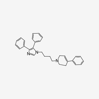 C1=C(c2ccccc2)CCN(CCCCn2cnc(-c3ccccc3)c2-c2ccccc2)C1